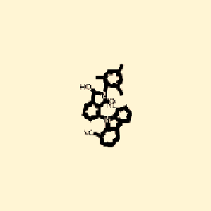 Cc1cc(C)c(N2C(=O)c3c(cccc3-n3c4c(C#N)cccc4c4cccc(C#N)c43)C2O)c(C)c1